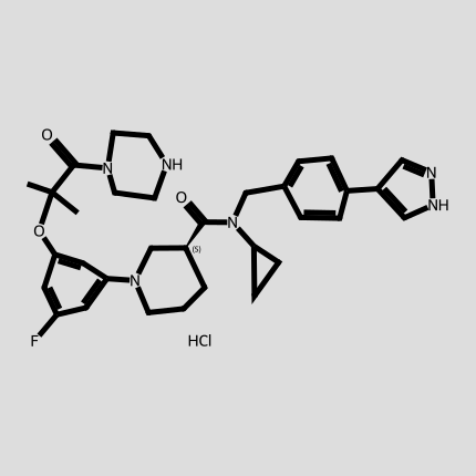 CC(C)(Oc1cc(F)cc(N2CCC[C@H](C(=O)N(Cc3ccc(-c4cn[nH]c4)cc3)C3CC3)C2)c1)C(=O)N1CCNCC1.Cl